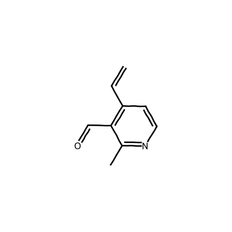 C=Cc1ccnc(C)c1C=O